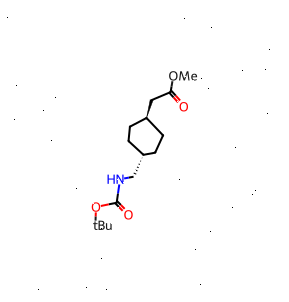 COC(=O)C[C@H]1CC[C@H](CNC(=O)OC(C)(C)C)CC1